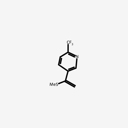 C=C(SC)c1ccc(C(F)(F)F)nc1